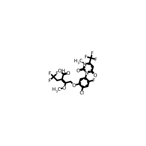 COC(COc1cc(-n2c(=O)cc(C(F)(F)F)n(C)c2=O)c(F)cc1Cl)=C(CC(F)(F)F)C(=O)O